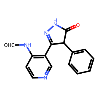 O=CNc1ccncc1C1=NNC(=O)C1c1ccccc1